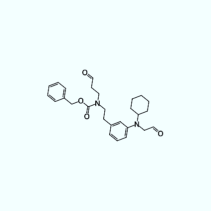 O=CCCN(CCc1cccc(N(CC=O)C2CCCCC2)c1)C(=O)OCc1ccccc1